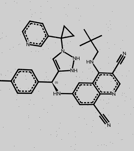 CC(C)(C)CNc1c(C#N)cnc2c(C#N)cc(N[C@H](C3=CN(C4(c5cccnc5)CC4)NN3)c3ccc(F)cc3)cc12